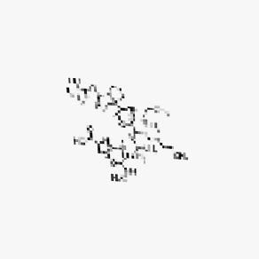 CCCCCCN(C(=O)[C@@H](NC(=O)[C@@]1(C)CCCN1C(=O)OC(C)(C)C)[C@@H](C)CC)[C@H](C[C@@H](OC(=O)NC)c1nc(C(=O)O)cs1)C(C)C